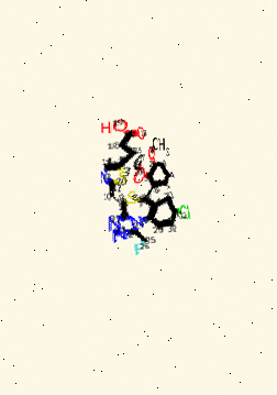 COc1cccc([C@@H]2S[C@@H](Cc3ncc(CCC(=O)O)s3)c3nnc(CF)n3-c3ccc(Cl)cc32)c1OC